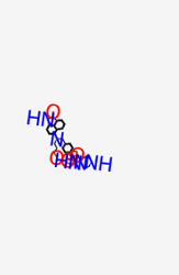 O=C1Nc2ccc(N(CCCO)Cc3ccc(S(=O)(=O)NN4CCNCC4)cc3)c3cccc1c23